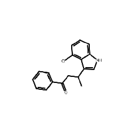 CC(CC(=O)c1ccccc1)c1c[nH]c2cccc(Cl)c12